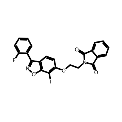 O=C1c2ccccc2C(=O)N1CCOc1ccc2c(-c3ccccc3F)noc2c1I